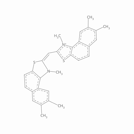 Cc1cc2ccc3c(c2cc1C)N(C)C(=Cc1sc2ccc4cc(C)c(C)cc4c2[n+]1C)S3